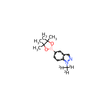 [2H]C([2H])([2H])n1ncc2cc(B3OC(C)(C)C(C)(C)O3)ccc21